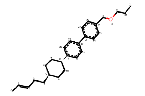 C/C=C/CC[C@H]1CC[C@H](c2ccc(-c3ccc(COCCC)cc3)cc2)CC1